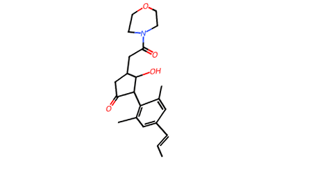 C/C=C/c1cc(C)c(C2C(=O)CC(CC(=O)N3CCOCC3)C2O)c(C)c1